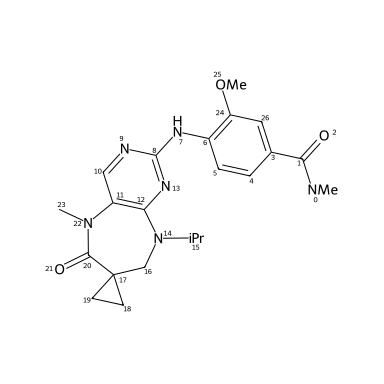 CNC(=O)c1ccc(Nc2ncc3c(n2)N(C(C)C)CC2(CC2)C(=O)N3C)c(OC)c1